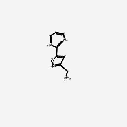 NCc1cc(-c2ncccn2)on1